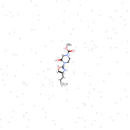 CC(C)(C)OC(=O)N1CCN(c2nc(CCC(=O)O)co2)C(=O)C1